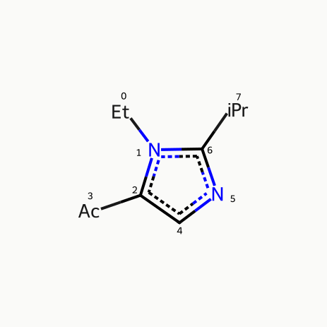 CCn1c(C(C)=O)cnc1C(C)C